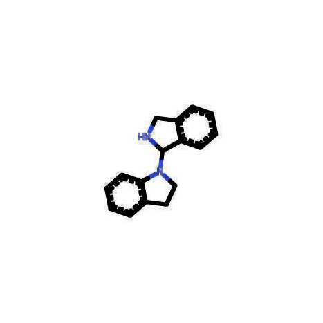 c1ccc2c(c1)CN[C]2N1CCc2ccccc21